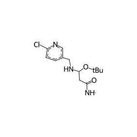 CC(C)(C)OC(CC([NH])=O)NCc1ccc(Cl)nc1